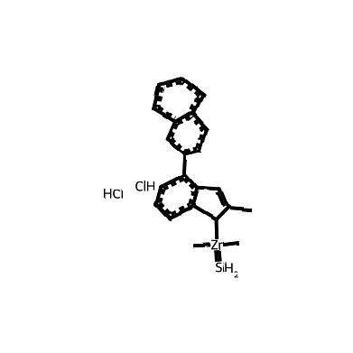 CC1=Cc2c(-c3ccc4ccccc4c3)cccc2[CH]1[Zr]([CH3])([CH3])=[SiH2].Cl.Cl